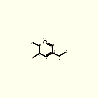 CCC(C=O)=CC(C)CC